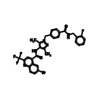 Cc1nn(Cc2ccc(C(=O)NCc3ccccc3F)cc2)c(C)c1NC(=O)c1cc(C(F)(F)F)nc2ccc(Br)cc12